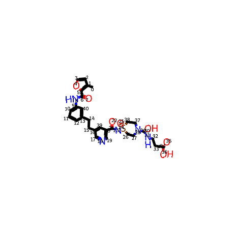 Cc1ccoc1C(=O)Nc1cccc(CCc2cncc(C(=O)N=S3(=O)CCN(C(O)NCCC(=O)O)CC3)c2)c1